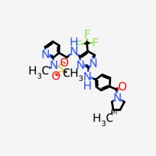 C[C@H]1CCN(C(=O)c2ccc(Nc3ncc(C(F)(F)F)c(NCc4cccnc4N(C)S(C)(=O)=O)n3)cc2)C1